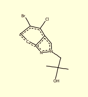 CC(C)(O)Cn1cc2c(Cl)c(Br)ccc2n1